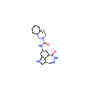 CCN(Cc1ccccc1)C(=O)Nc1cc2c3c(c[nH]c3c1)C=NNC2=O